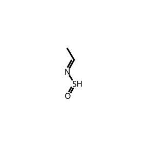 CC=N[SH]=O